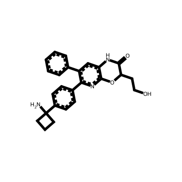 NC1(c2ccc(-c3nc4c(cc3-c3ccccc3)NC(=O)C(CCO)O4)cc2)CCC1